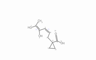 C/C(O)=C(O)\C=C/CC1(C(=O)O)CC1